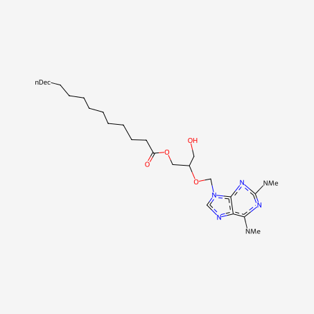 CCCCCCCCCCCCCCCCCCCC(=O)OCC(CO)OCn1cnc2c(NC)nc(NC)nc21